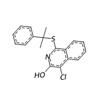 CC(C)(Sc1nc(O)c(Cl)c2ccccc12)c1ccccc1